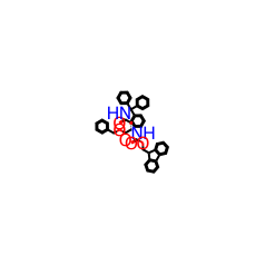 O=C(C[C@H](NC(=O)OCC1c2ccccc2-c2ccccc21)C(=O)OCc1ccccc1)NC(c1ccccc1)(c1ccccc1)c1ccccc1